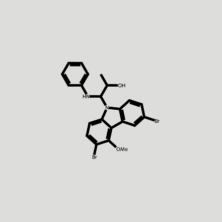 COc1c(Br)ccc2c1c1cc(Br)ccc1n2C(Nc1ccccc1)C(C)O